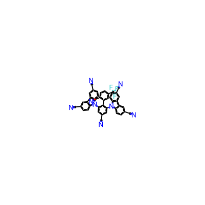 N#Cc1cc(-n2c3ccc(C#N)cc3c3cc(C#N)ccc32)c(-c2cc(C(F)(F)F)ccc2C#N)c(-n2c3ccc(C#N)cc3c3cc(C#N)ccc32)c1